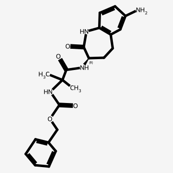 CC(C)(NC(=O)OCc1ccccc1)C(=O)N[C@@H]1CCc2cc(N)ccc2NC1=O